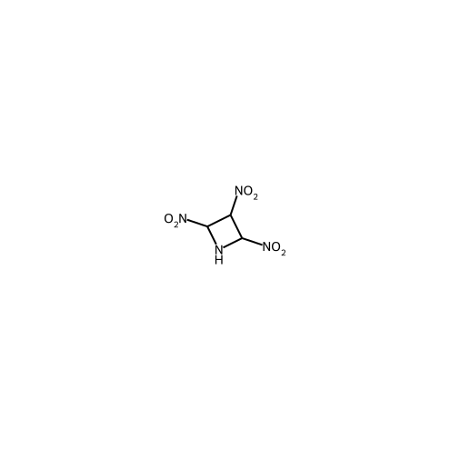 O=[N+]([O-])C1NC([N+](=O)[O-])C1[N+](=O)[O-]